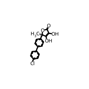 C[C@@]1(c2ccc(-c3ccc(Cl)cc3)cc2)OC(=O)C(O)=C1O